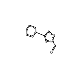 O=Cn1ncc(-c2ccccc2)n1